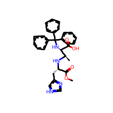 COC(=O)[C@H](Cc1c[nH]cn1)N[C@H](C)[C@H](NC(c1ccccc1)(c1ccccc1)c1ccccc1)C(=O)O